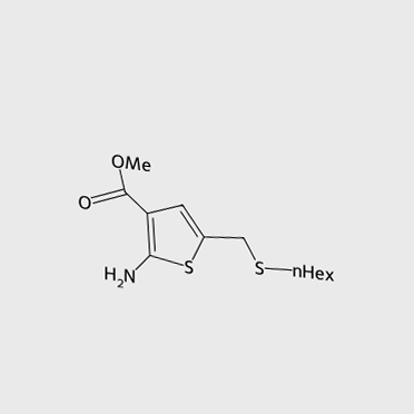 CCCCCCSCc1cc(C(=O)OC)c(N)s1